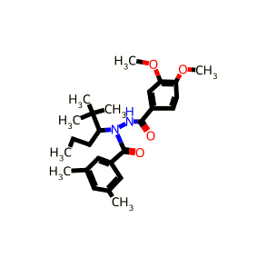 CCCC(N(NC(=O)c1ccc(OC)c(OC)c1)C(=O)c1cc(C)cc(C)c1)C(C)(C)C